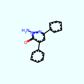 Nn1nc(-c2ccccc2)cc(-c2ccccc2)c1=O